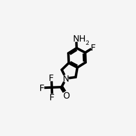 Nc1cc2c(cc1F)CN(C(=O)C(F)(F)F)C2